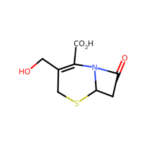 O=C(O)C1=C(CO)CSC2CC(=O)N12